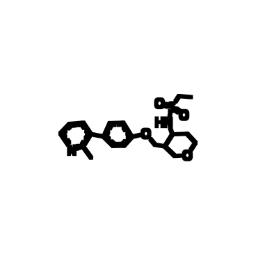 CCS(=O)(=O)NC1CCOCC1COc1ccc(-c2cccnc2C)cc1